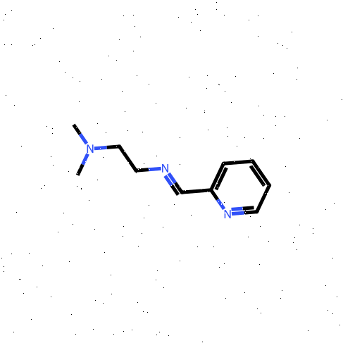 CN(C)CCN=Cc1ccccn1